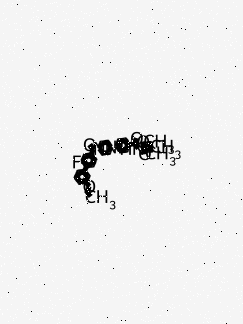 CCOc1cccc(-c2ccc(C(=O)N3CCN(c4ccc(C(=O)NS(=O)(=O)C(C)(C)C)cc4)CC3)cc2F)c1